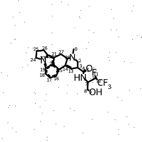 CN1CC(C(=O)NC(CO)C(F)C(F)(F)F)C=C2c3cccc4c3c(c3n4CCC3)CC21